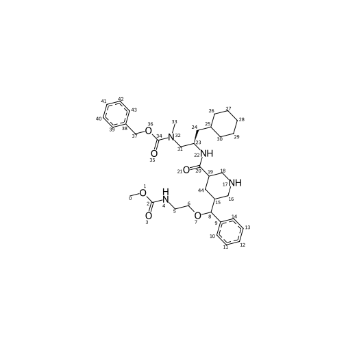 COC(=O)NCCOC(c1ccccc1)C1CNCC(C(=O)N[C@H](CC2CCCCC2)CN(C)C(=O)OCc2ccccc2)C1